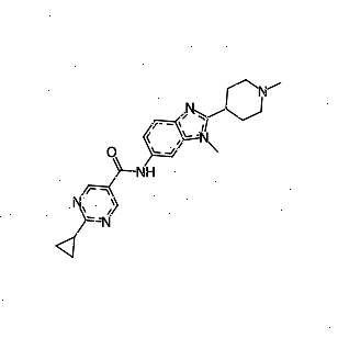 CN1CCC(c2nc3ccc(NC(=O)c4cnc(C5CC5)nc4)cc3n2C)CC1